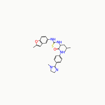 Cc1cc2cc(NC(=S)NC(CC(C)C)C(=O)Nc3ccc(C4=NCCN4C)cc3)ccc2o1